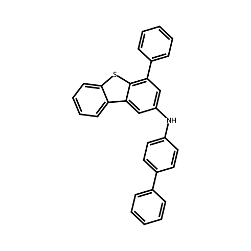 c1ccc(-c2ccc(Nc3cc(-c4ccccc4)c4sc5ccccc5c4c3)cc2)cc1